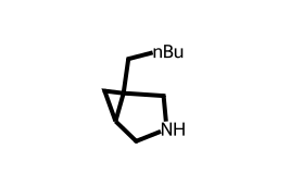 CCCCCC12CNCC1C2